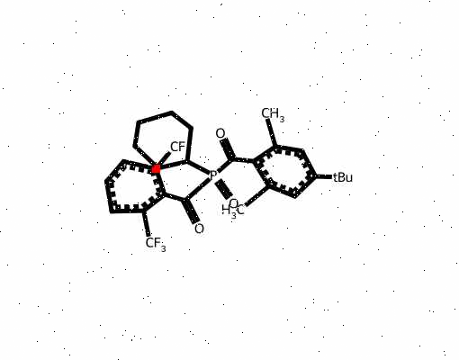 Cc1cc(C(C)(C)C)cc(C)c1C(=O)P(=O)(C(=O)c1c(C(F)(F)F)cccc1C(F)(F)F)C1CCCCC1